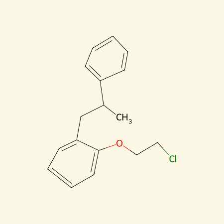 CC(Cc1ccccc1OCCCl)c1ccccc1